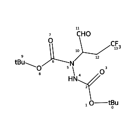 CC(C)(C)OC(=O)NN(C(=O)OC(C)(C)C)C(C=O)CC(F)(F)F